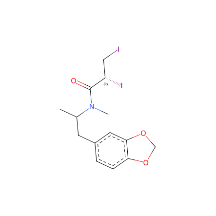 CC(Cc1ccc2c(c1)OCO2)N(C)C(=O)[C@@H](I)CI